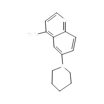 CNc1ccnc2ccc(N3CCCCC3)cc12